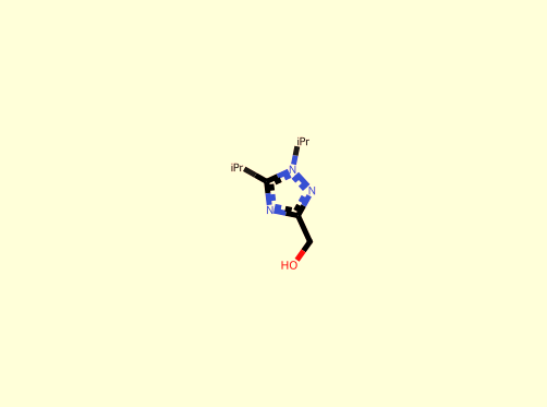 CC(C)c1nc(CO)nn1C(C)C